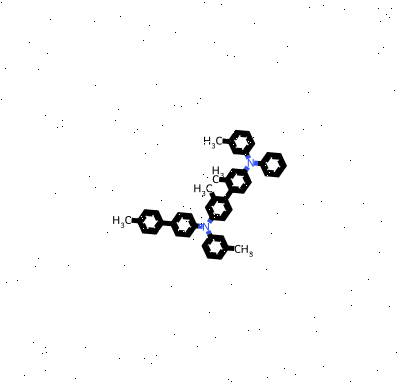 Cc1ccc(-c2ccc(N(c3cccc(C)c3)c3ccc(-c4ccc(N(c5ccccc5)c5cccc(C)c5)cc4C)c(C)c3)cc2)cc1